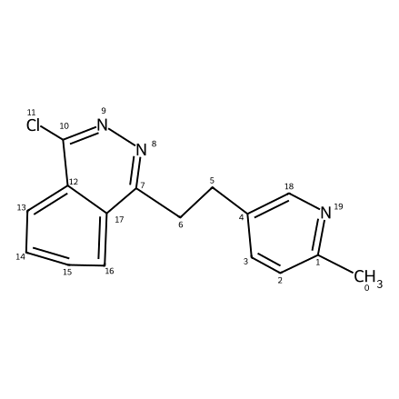 Cc1ccc(CCc2nnc(Cl)c3ccccc23)cn1